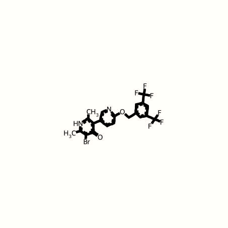 Cc1[nH]c(C)c(-c2ccc(OCc3cc(C(F)(F)F)cc(C(F)(F)F)c3)nc2)c(=O)c1Br